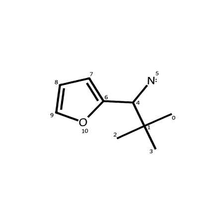 CC(C)(C)C([N])c1ccco1